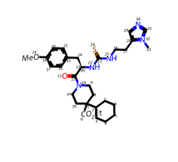 CCOC(=O)C1(C2CCCCC2)CCN(C(=O)[C@@H](Cc2ccc(OC)cc2)NC(=S)NCCc2cncn2C)CC1